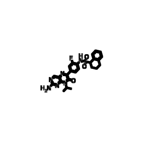 CC(C)n1c(=O)c(-c2ccc(NS(=O)(=O)C3CCCc4ccccc43)c(F)c2)nc2cnc(N)nc21